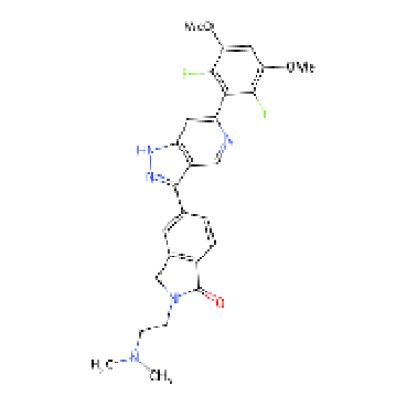 COc1cc(OC)c(F)c(-c2cc3[nH]nc(-c4ccc5c(c4)CN(CCN(C)C)C5=O)c3cn2)c1F